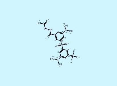 O=C(O)CNC(=O)c1cc(B(O)O)cc(S(=O)(=O)c2cc(B(O)O)cc(C(F)(F)F)c2)c1